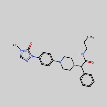 COCCNC(=O)C(c1ccccc1)N1CCN(c2ccc(-n3ncn(C(C)C)c3=O)cc2)CC1